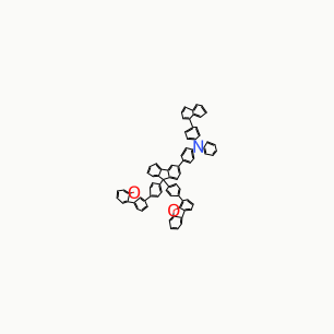 c1ccc(N(c2ccc(-c3ccc4c(c3)-c3ccccc3C4(c3ccc(-c4cccc5c4oc4ccccc45)cc3)c3ccc(-c4cccc5c4oc4ccccc45)cc3)cc2)c2ccc(-c3cccc4ccccc34)cc2)cc1